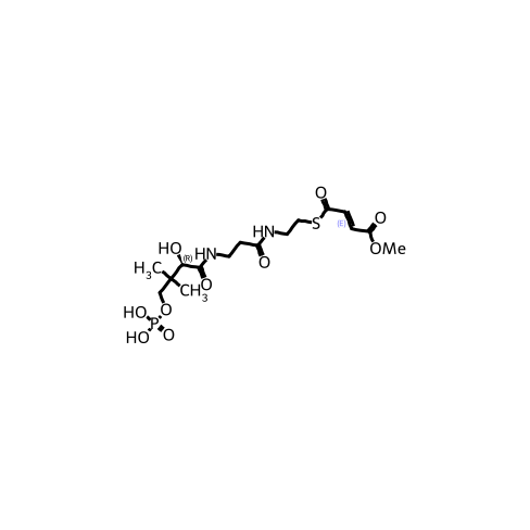 COC(=O)/C=C/C(=O)SCCNC(=O)CCNC(=O)[C@H](O)C(C)(C)COP(=O)(O)O